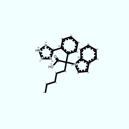 CCCCCC(C(=O)O)(c1ccccc1-c1nn[nH]n1)n1ccc2ccccc21